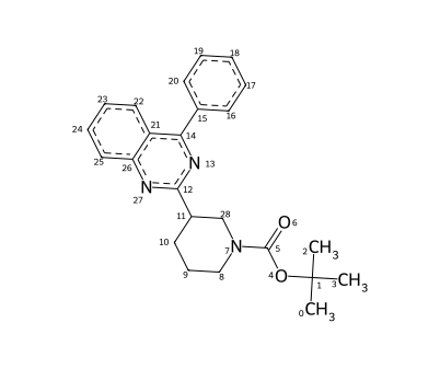 CC(C)(C)OC(=O)N1CCCC(c2nc(-c3ccccc3)c3ccccc3n2)C1